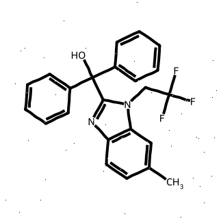 Cc1ccc2nc(C(O)(c3ccccc3)c3ccccc3)n(CC(F)(F)F)c2c1